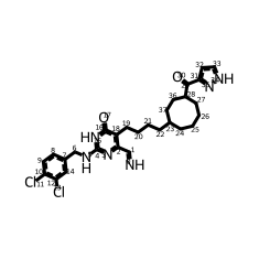 N=Cc1nc(NCc2ccc(Cl)c(Cl)c2)[nH]c(=O)c1CCCCC1CCCCC(C(=O)c2cc[nH]n2)CC1